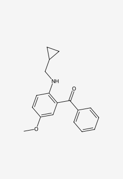 COc1ccc(NCC2CC2)c(C(=O)c2ccccc2)c1